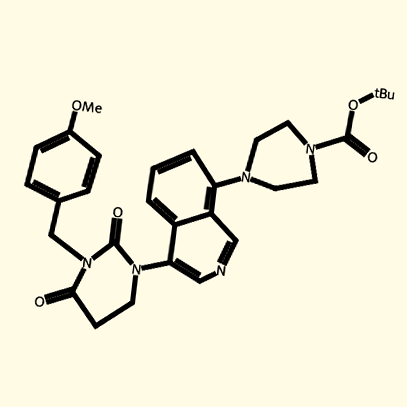 COc1ccc(CN2C(=O)CCN(c3cncc4c(N5CCN(C(=O)OC(C)(C)C)CC5)cccc34)C2=O)cc1